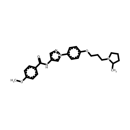 COc1ccc(C(=O)Nc2cnn(-c3ccc(OCCCN4CCCC4C)cc3)c2)cc1